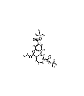 CCOC(=O)C1CCCN(C(=O)OC(C)(C)C)C[C@H]1c1ccc(C(=O)OC(C)(C)C)cc1